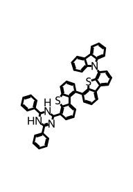 c1ccc(C2=NC(c3cccc4c3sc3cccc(-c5cccc6c5sc5c(-n7c8ccccc8c8ccccc87)cccc56)c34)NC(c3ccccc3)N2)cc1